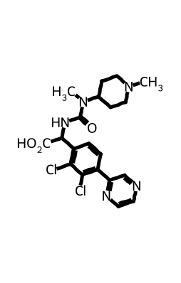 CN1CCC(N(C)C(=O)NC(C(=O)O)c2ccc(-c3cnccn3)c(Cl)c2Cl)CC1